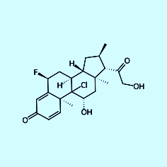 C[C@@H]1C[C@H]2[C@@H]3C[C@H](F)C4=CC(=O)C=C[C@]4(C)C3(Cl)[C@@H](O)C[C@]2(C)[C@H]1C(=O)CO